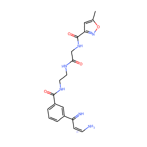 Cc1cc(C(=O)NCC(=O)NCCNC(=O)c2cccc(C(=N)/C=C\N)c2)no1